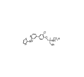 CC(C)CC(C)(COc1ccc(-c2ccnc(Nc3nccs3)c2)cc1Cl)NC(=O)O